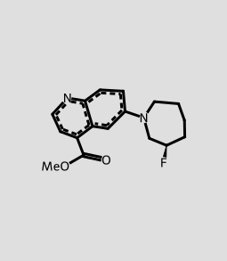 COC(=O)c1ccnc2ccc(N3CCCC[C@@H](F)C3)cc12